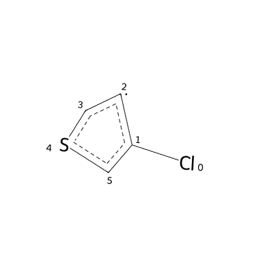 Clc1[c]csc1